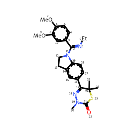 CCN=C(c1ccc(OC)c(OC)c1)N1CCc2cc(C3=NN(C)C(=O)SC3(C)C)ccc21